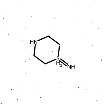 N=[SH2]1CCNCC1